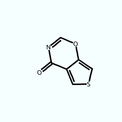 O=c1ncoc2cscc12